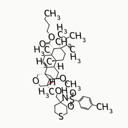 CCCCOC(=O)[C@@H]1[C@@](C)([C@H](C)C(C)C)CC[C@]2(C)[C@H]3CC[C@@H]4[C@@]5(COC[C@]4(C)[C@@H](OCC4(NS(=O)(=O)c6ccc(C)cc6)CCSCC4)[C@H](OC)C5)C3=CC[C@@]12C